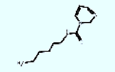 CCCCCCNC(=O)N1C=CC=NC1